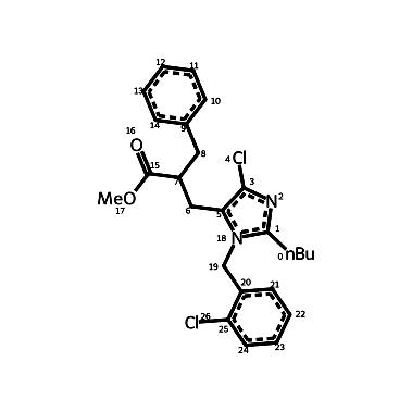 CCCCc1nc(Cl)c(CC(Cc2ccccc2)C(=O)OC)n1Cc1ccccc1Cl